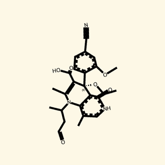 CCO[C@@]1(c2ccc(C#N)cc2OC)C(C(=O)O)=C(C)N(C(C)CC=O)c2c(C)c[nH]c(=O)c21